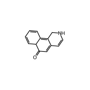 O=C1C=C2C=CNCC2=C2C=CC=CC12